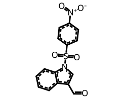 O=Cc1cn(S(=O)(=O)c2ccc([N+](=O)[O-])cc2)c2ccccc12